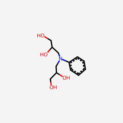 OCC(O)CN(CC(O)CO)c1ccccc1